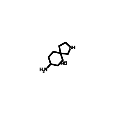 Cl.NC1CCC2(CCNC2)CC1